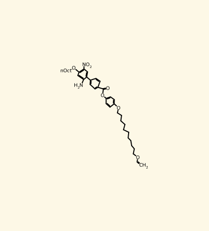 C=COCCCCCCCCCCCOc1ccc(OC(=O)c2ccc(-c3cc([N+](=O)[O-])c(OCCCCCCCC)cc3N)cc2)cc1